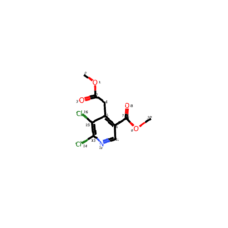 COC(=O)Cc1c(C(=O)OC)cnc(Cl)c1Cl